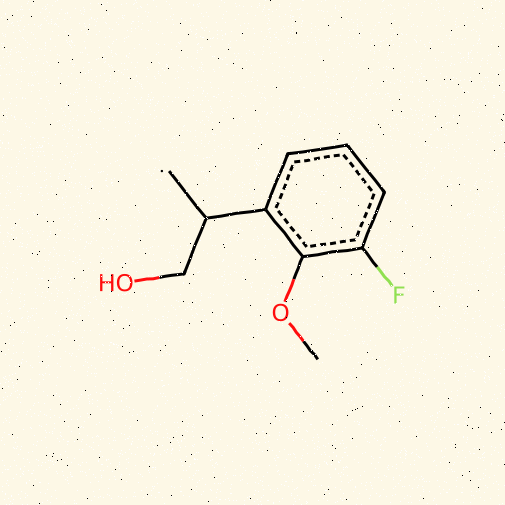 [CH2]C(CO)c1cccc(F)c1OC